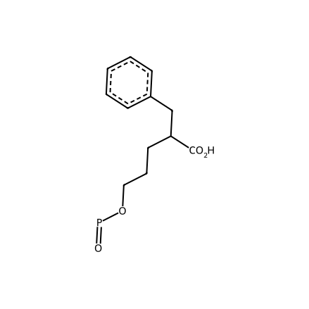 O=POCCCC(Cc1ccccc1)C(=O)O